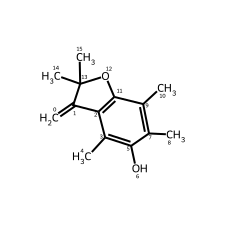 C=C1c2c(C)c(O)c(C)c(C)c2OC1(C)C